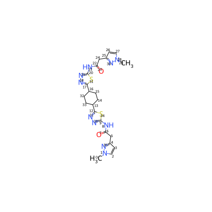 Cn1ccc(CC(=O)Nc2nnc(C3CCC(c4nnc(NC(=O)Cc5ccn(C)n5)s4)CC3)s2)n1